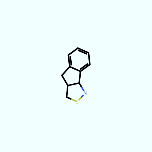 c1ccc2c(c1)CC1CS[N]C21